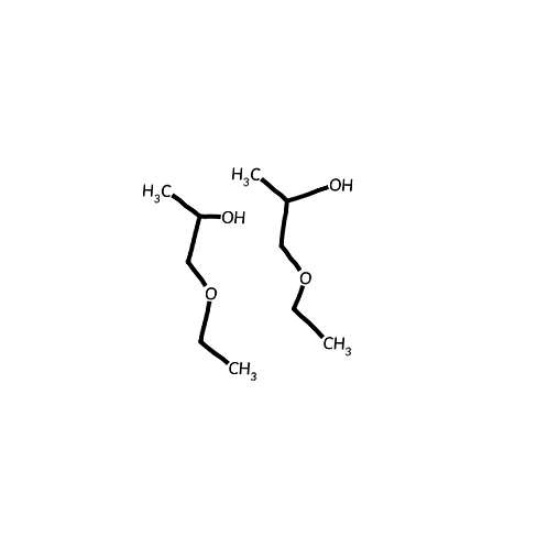 CCOCC(C)O.CCOCC(C)O